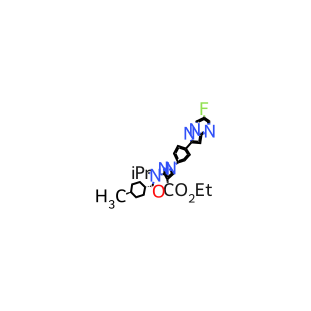 CCOC(=O)c1cn(-c2ccc(-c3cc4ncc(F)cn4n3)cc2)nc1N(C(=O)[C@H]1CC[C@H](C)CC1)C(C)C